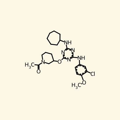 COc1ccc(Nc2nc(NC3CCCCCC3)nc(OC3CCCN(C(C)=O)C3)n2)cc1Cl